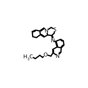 CCCCOCc1cc2c(N=C3CSCN4C=C5C=CCCC5=CC34)cccc2cn1